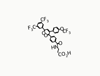 O=C(O)CCNC(=O)c1ccc(C(=O)/C(=C\C(=O)c2cc(C(F)(F)F)cc(C(F)(F)F)c2)c2ccc(OC(F)(F)F)cc2)cc1